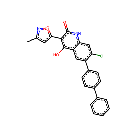 Cc1cc(-c2c(O)c3cc(-c4ccc(-c5ccccc5)cc4)c(Cl)cc3[nH]c2=O)on1